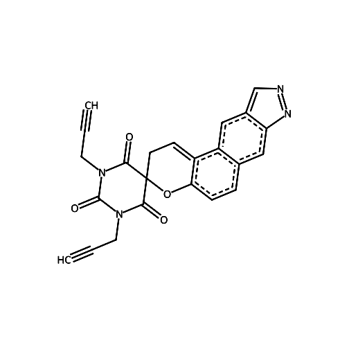 C#CCN1C(=O)N(CC#C)C(=O)C2(CC=c3c(ccc4cc5c(cc34)=CN=N5)O2)C1=O